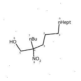 CCCCCCCCCCC(CO)(CCCC)[N+](=O)[O-]